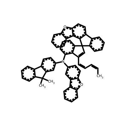 C/C=C\C=C/C1=CC2(c3ccccc3-c3ccc4oc5ccccc5c4c32)c2cccc(N(c3ccc4c(c3)C(C)(C)c3ccccc3-4)c3ccc4oc5ccccc5c4c3)c21